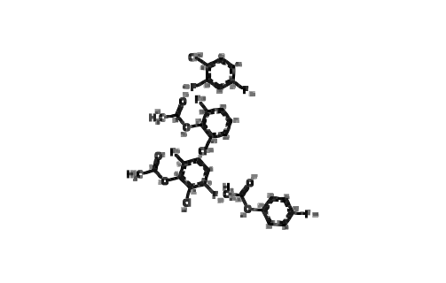 CC(=O)Oc1c(F)ccc(F)c1Cl.CC(=O)Oc1c(F)cccc1Cl.CC(=O)Oc1ccc(F)cc1.Fc1[c]c(F)c(Cl)cc1